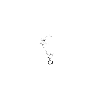 CC(C)C[C@H](C(=O)NCCCSC[C@H](NC(=O)CC(C)(C)C)C(=O)O)c1ccc(O)cc1